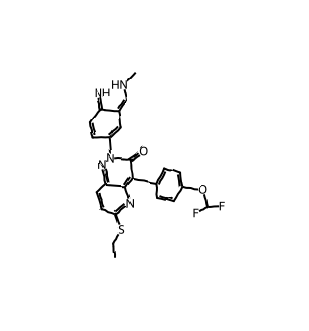 CCSc1ccc2nn(C3=C/C(=C/NC)C(=N)C=C3)c(=O)c(-c3ccc(OC(F)F)cc3)c2n1